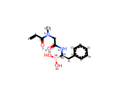 C=CC(=O)N(CC)CC(=O)N[C@@H](Cc1ccccc1)B(O)O